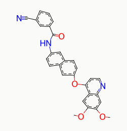 COc1cc2nccc(Oc3ccc4cc(NC(=O)c5cccc(C#N)c5)ccc4c3)c2cc1OC